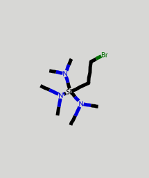 CN(C)[Si](CCBr)(N(C)C)N(C)C